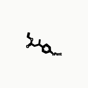 C=COC(=O)CC(C)c1ccc(CCCCC)cc1